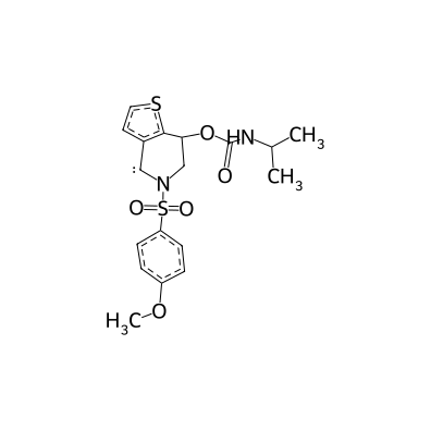 COc1ccc(S(=O)(=O)N2[C]c3ccsc3C(OC(=O)NC(C)C)C2)cc1